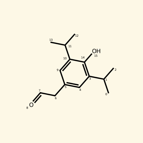 CC(C)c1cc(CC=O)cc(C(C)C)c1O